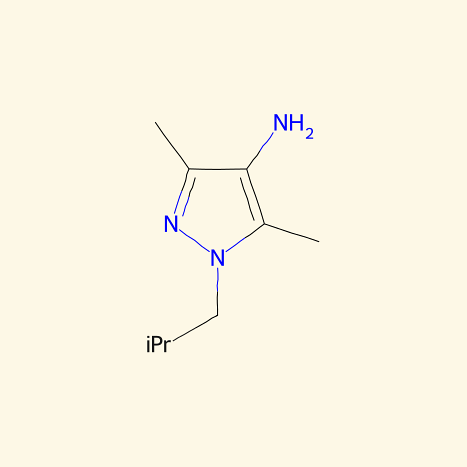 Cc1nn(CC(C)C)c(C)c1N